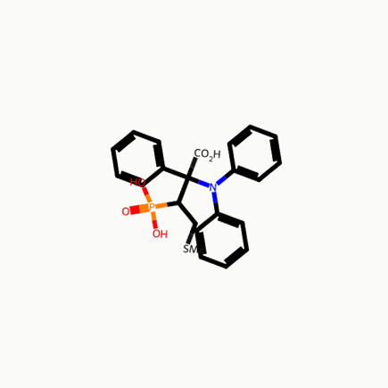 CSCC(C(C(=O)O)(c1ccccc1)N(c1ccccc1)c1ccccc1)P(=O)(O)O